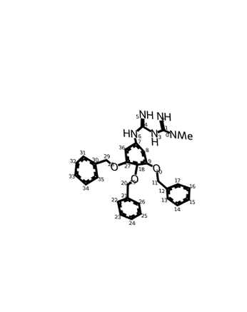 CNC(=N)NC(=N)Nc1cc(OCc2ccccc2)c(OCc2ccccc2)c(OCc2ccccc2)c1